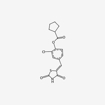 O=C1NC(=O)C(=Cc2ccc(OC(=O)C3CCCC3)c(Cl)c2)S1